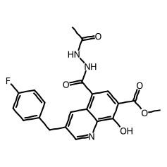 COC(=O)c1cc(C(=O)NNC(C)=O)c2cc(Cc3ccc(F)cc3)cnc2c1O